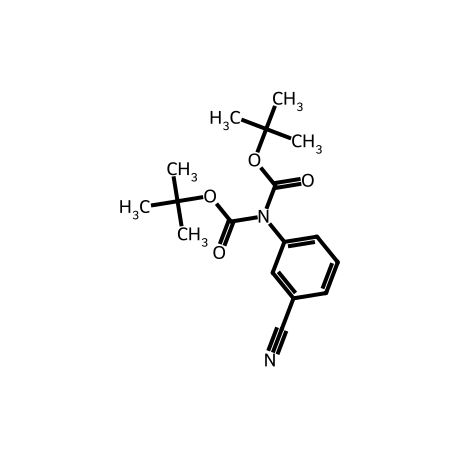 CC(C)(C)OC(=O)N(C(=O)OC(C)(C)C)c1cccc(C#N)c1